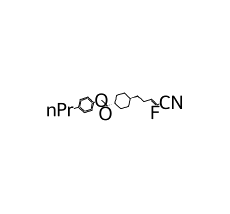 CCCc1ccc(OC(=O)[C@H]2CC[C@H](CCC=C(F)C#N)CC2)cc1